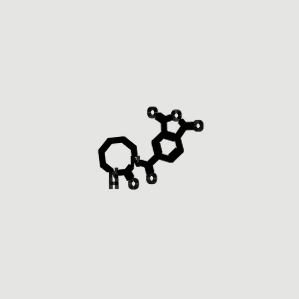 O=C1OC(=O)c2cc(C(=O)N3CCCCCNC3=O)ccc21